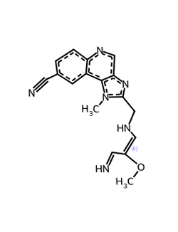 CO/C(C=N)=C/NCc1nc2cnc3ccc(C#N)cc3c2n1C